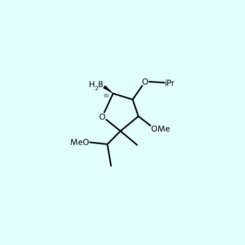 B[C@@H]1OC(C)(C(C)OC)C(OC)C1OC(C)C